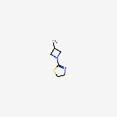 CC1CN(C2=NCCS2)C1